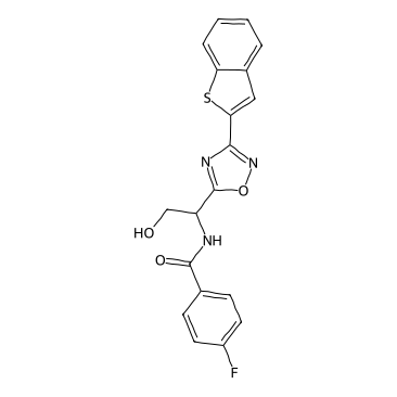 O=C(NC(CO)c1nc(-c2cc3ccccc3s2)no1)c1ccc(F)cc1